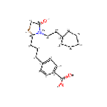 O=C(O)c1ccc(CCCC2SCC(=O)N2CCC2CCCCC2)cc1